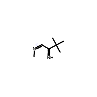 C/N=C\C(=N)C(C)(C)C